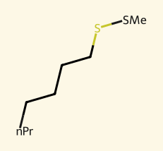 CCCCCCCSSC